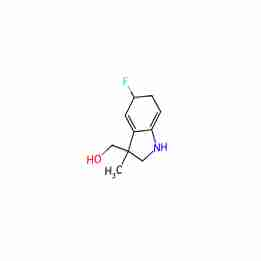 CC1(CO)CNC2=CCC(F)C=C21